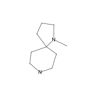 CN1CCCC12CC[N]CC2